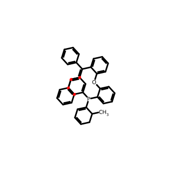 CC1CC=CC=C1P(C1=CC=CCC1)c1ccccc1Oc1ccccc1/C(=C/Cc1ccccc1)c1ccccc1